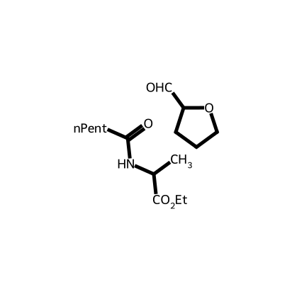 CCCCCC(=O)NC(C)C(=O)OCC.O=CC1CCCO1